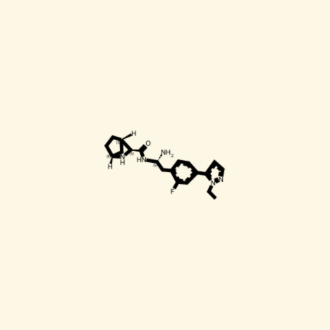 CCn1nccc1-c1ccc(C[C@@H](N)NC(=O)[C@H]2N[C@@H]3CC[C@H]2C3)c(F)c1